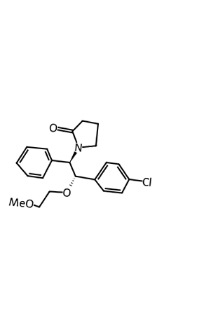 COCCO[C@@H](c1ccc(Cl)cc1)[C@@H](c1ccccc1)N1CCCC1=O